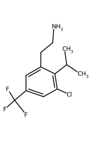 CC(C)c1c(Cl)cc(C(F)(F)F)cc1CCN